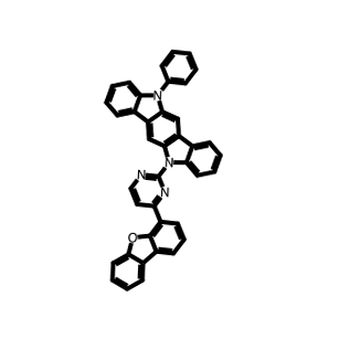 c1ccc(-n2c3ccccc3c3cc4c(cc32)c2ccccc2n4-c2nccc(-c3cccc4c3oc3ccccc34)n2)cc1